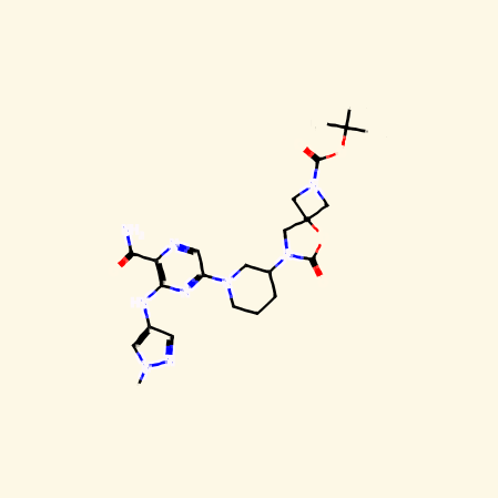 Cn1cc(Nc2nc(N3CCCC(N4CC5(CN(C(=O)OC(C)(C)C)C5)OC4=O)C3)cnc2C(N)=O)cn1